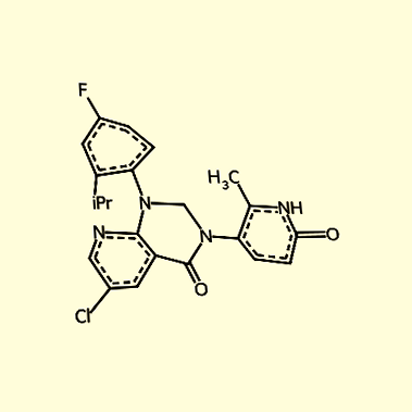 Cc1[nH]c(=O)ccc1N1CN(c2ccc(F)cc2C(C)C)c2ncc(Cl)cc2C1=O